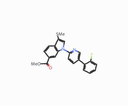 COC(=O)c1ccc2c(SC)cn(-c3ccc(-c4ccccc4F)cn3)c2c1